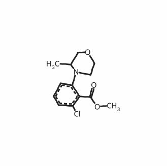 COC(=O)c1c(Cl)cccc1N1CCOCC1C